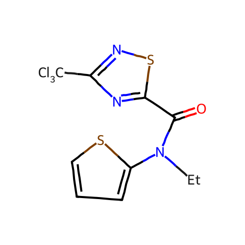 CCN(C(=O)c1nc(C(Cl)(Cl)Cl)ns1)c1cccs1